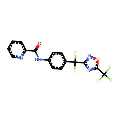 O=C(Nc1ccc(C(F)(F)c2noc(C(F)(F)F)n2)cc1)c1ccccn1